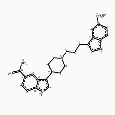 CCOC(=O)c1ccc2[nH]cc(CCCN3CCC(c4c[nH]c5ccc(C(N)=O)cc45)CC3)c2c1